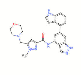 Cn1nc(C(=O)Nc2cc(-c3cccc4[nH]ccc34)cc3[nH]ncc23)cc1CN1CCOCC1